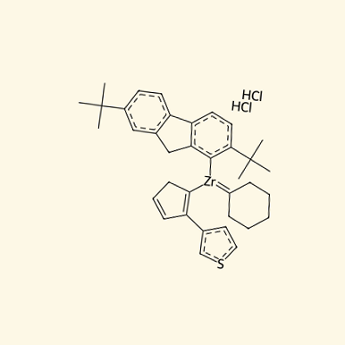 CC(C)(C)c1ccc2c(c1)Cc1c-2ccc(C(C)(C)C)[c]1[Zr]([C]1=C(c2ccsc2)C=CC1)=[C]1CCCCC1.Cl.Cl